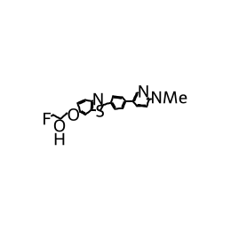 CNc1ccc(-c2ccc(-c3nc4ccc(OCC(O)CF)cc4s3)cc2)cn1